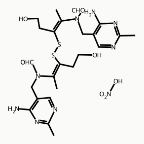 C/C(=C(\CCO)SS/C(CCO)=C(/C)N(C=O)Cc1cnc(C)nc1N)N(C=O)Cc1cnc(C)nc1N.O=[N+]([O-])O